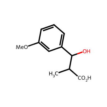 COc1cccc(C(O)C(C)C(=O)O)c1